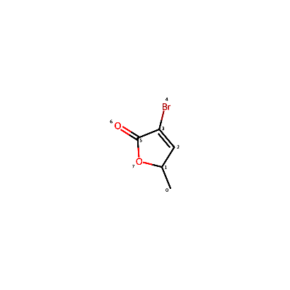 CC1C=C(Br)C(=O)O1